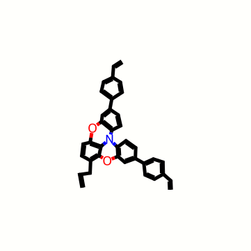 C=CCc1ccc2c3c1Oc1cc(-c4ccc(C=C)cc4)ccc1N3c1ccc(-c3ccc(C=C)cc3)cc1O2